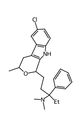 CCC(CCC1OC(C)Cc2c1[nH]c1ccc(Cl)cc21)(c1ccccc1)N(C)C